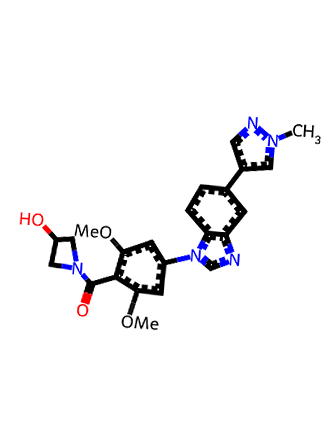 COc1cc(-n2cnc3cc(-c4cnn(C)c4)ccc32)cc(OC)c1C(=O)N1CC(O)C1